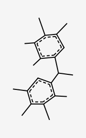 Cc1cc(C(C)c2cc(C)c(C)c(C)c2C)c(C)c(C)c1C